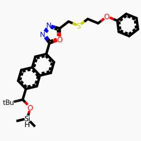 C[SiH](C)OC(c1ccc2cc(-c3nnc(CSCCOc4ccccc4)o3)ccc2c1)C(C)(C)C